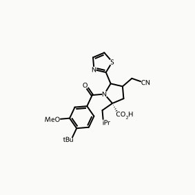 COc1cc(C(=O)N2C(c3nccs3)C(CC#N)C[C@]2(CC(C)C)C(=O)O)ccc1C(C)(C)C